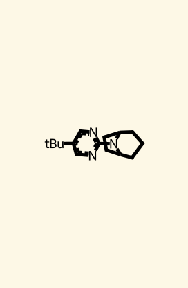 CC(C)(C)c1cnc(N2C3CCCC2CC3)nc1